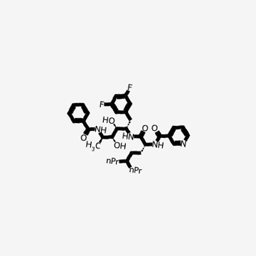 CCCC(CCC)CC[C@@H](NC(=O)c1cccnc1)C(=O)N[C@@H](Cc1cc(F)cc(F)c1)[C@@H](O)[C@H](O)[C@@H](C)NC(=O)c1ccccc1